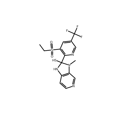 CCS(=O)(=O)c1cc(C(F)(F)F)cnc1C1(S)Nc2ccncc2N1C